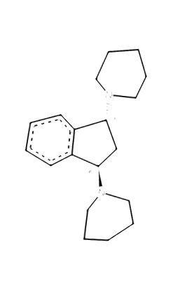 c1ccc2c(c1)[C@H](N1CCCCC1)C[C@H]2N1CCCCC1